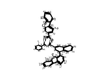 c1ccc(-c2nc(-c3cc(-c4cccc5c4sc4ccccc45)c4ccccc4c3)nc(-c3ccc4c(c3)oc3ccccc34)n2)cc1